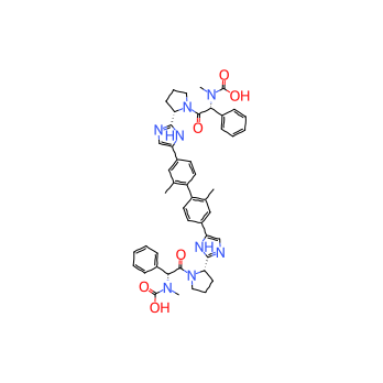 Cc1cc(-c2cnc([C@@H]3CCCN3C(=O)[C@@H](c3ccccc3)N(C)C(=O)O)[nH]2)ccc1-c1ccc(-c2cnc([C@@H]3CCCN3C(=O)[C@@H](c3ccccc3)N(C)C(=O)O)[nH]2)cc1C